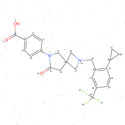 O=C(O)c1ccc(N2CC3(CC2=O)CN(Cc2cc(C(F)(F)F)ccc2C2CC2)C3)cc1